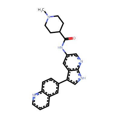 CN1CCC(C(=O)Nc2cnc3[nH]cc(-c4ccc5ncccc5c4)c3c2)CC1